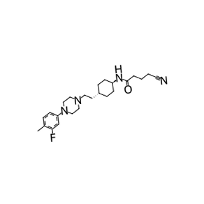 Cc1ccc(N2CCN(CC[C@H]3CC[C@H](NC(=O)CCCC#N)CC3)CC2)cc1F